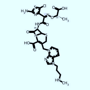 CNCCCn1cnc2c1ccc[n+]2CC1=C(C(=O)O)N2C(=O)[C@@H](NC(=O)/C(=N\O[C@@H](C)C(=O)O)c3nc(N)sc3Cl)C2SC1